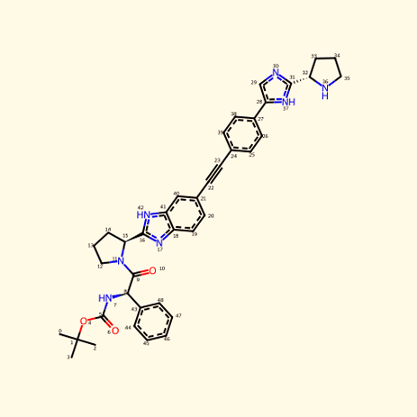 CC(C)(C)OC(=O)N[C@@H](C(=O)N1CCC[C@H]1c1nc2ccc(C#Cc3ccc(-c4cnc([C@@H]5CCCN5)[nH]4)cc3)cc2[nH]1)c1ccccc1